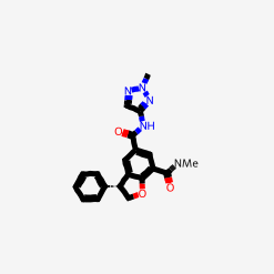 CNC(=O)c1cc(C(=O)Nc2cnn(C)n2)cc2c1OC[C@@H]2c1ccccc1